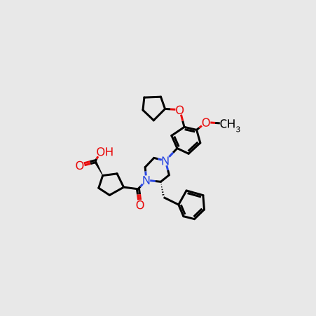 COc1ccc(N2CCN(C(=O)C3CC[C@@H](C(=O)O)C3)[C@@H](Cc3ccccc3)C2)cc1OC1CCCC1